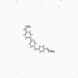 COSc1ccc(Oc2ccc(-c3ccc(OC(C)(C)C)cc3)cc2)cc1